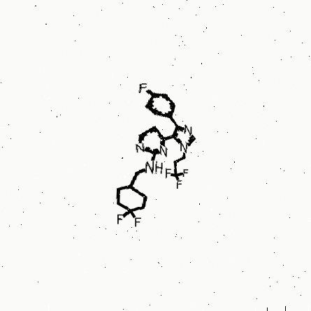 Fc1ccc(-c2ncn(CCC(F)(F)F)c2-c2ccnc(NCC3CCC(F)(F)CC3)n2)cc1